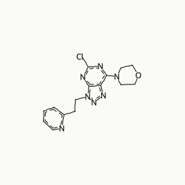 Clc1nc(N2CCOCC2)c2nnn(CCc3ccccn3)c2n1